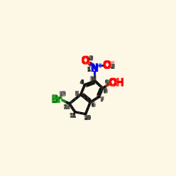 O=[N+]([O-])c1cc2c(cc1O)CCC2Br